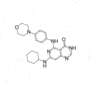 O=c1[nH]cnc2cc(NC3CCCCC3)nc(Nc3ccc(N4CCOCC4)cc3)c12